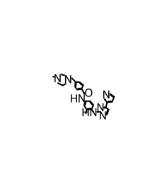 Cc1cc(NC(=O)c2ccc(CN3CCCN(C)CC3)cc2)ccc1Nc1nccc(-c2cccnc2)n1